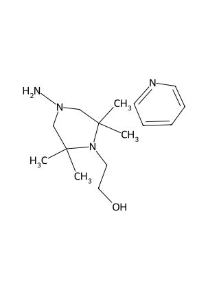 CC1(C)CN(N)CC(C)(C)N1CCO.c1ccncc1